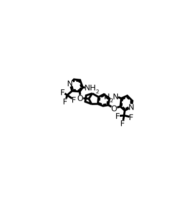 Nc1ccnc(C(F)(F)F)c1Oc1ccc2c(c1)C1CCC2C1Oc1c(N)ccnc1C(F)(F)F